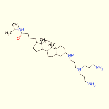 CC(C)NC(=O)CCCC1CCC2C3CCC4CC(NCCCN(CCCN)CCCN)CCC4(C)C3CCC12C